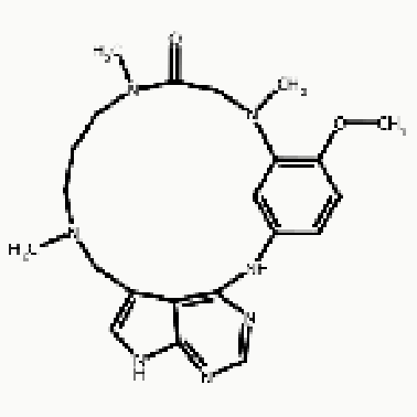 COc1ccc2cc1N(C)CC(=O)N(C)CCCN(C)Cc1c[nH]c3ncnc(c13)N2